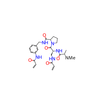 C=CC(=O)NC[C@H](NC(=O)C(C)NC)C(=O)N1CCCC1C(=O)NCc1cccc(NC(=O)C=C)c1